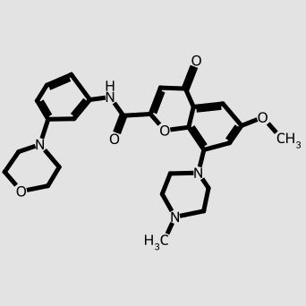 COc1cc(N2CCN(C)CC2)c2oc(C(=O)Nc3cccc(N4CCOCC4)c3)cc(=O)c2c1